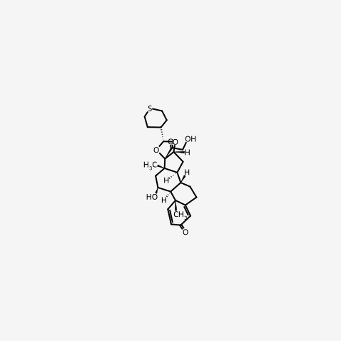 C[C@]12C=CC(=O)C=C1CC[C@@H]1[C@@H]2[C@@H](O)C[C@@]2(C)[C@H]1C[C@H]1O[C@@H](C3CCSCC3)O[C@]12C(=O)CO